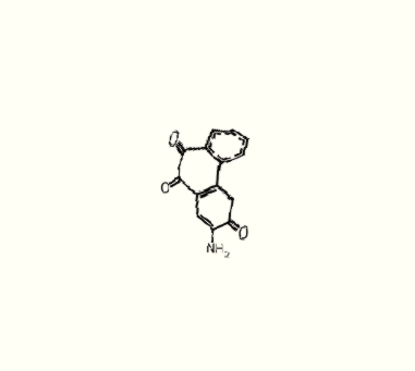 NC1=CC2=C(CC1=O)c1ccccc1C(=O)C2=O